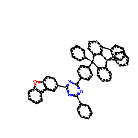 c1ccc(-c2nc(-c3ccc(C4(c5ccccc5)c5ccccc5C5(c6ccccc6)c6ccccc6-c6cccc4c65)cc3)nc(-c3ccc4oc5ccccc5c4c3)n2)cc1